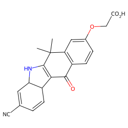 CC1(C)C2=C(C(=O)c3ccc(OCC(=O)O)cc31)C1C=CC(C#N)=CC1N2